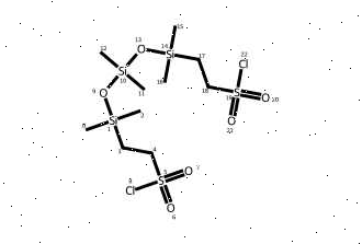 C[Si](C)(CCS(=O)(=O)Cl)O[Si](C)(C)O[Si](C)(C)CCS(=O)(=O)Cl